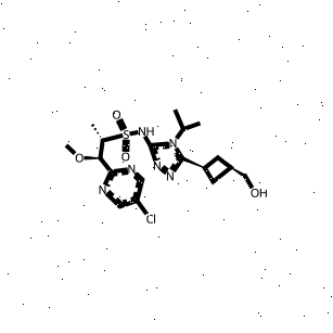 CO[C@H](c1ncc(Cl)cn1)[C@H](C)S(=O)(=O)Nc1nnc([C@H]2C[C@@H](CO)C2)n1C(C)C